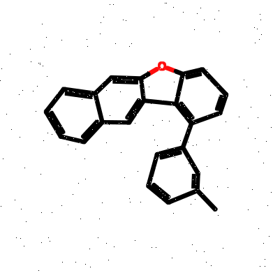 Cc1cccc(-c2cccc3oc4cc5ccccc5cc4c23)c1